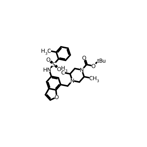 Cc1ccccc1S(=O)(=O)Nc1cc(CN2CC(C)N(C(=O)OC(C)(C)C)CC2C)c2occc2c1